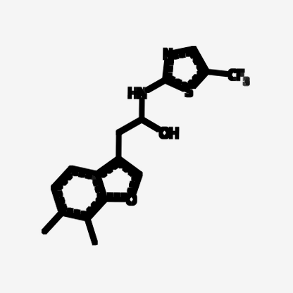 Cc1ccc2c(CC(O)Nc3ncc(C(F)(F)F)s3)coc2c1C